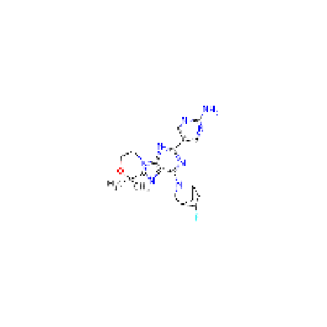 CC1(C)OCCn2c1nc1c(N3CC4CC3CC4F)nc(-c3cnc(N)nc3)nc12